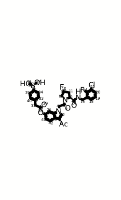 CC(=O)c1cn(CC(=O)N2C[C@H](F)C[C@H]2C(=O)NCc2cccc(Cl)c2F)c2cc(OC(=O)Cc3ccc(B(O)O)cc3)ccc12